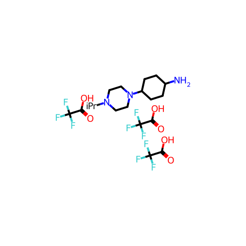 CC(C)N1CCN(C2CCC(N)CC2)CC1.O=C(O)C(F)(F)F.O=C(O)C(F)(F)F.O=C(O)C(F)(F)F